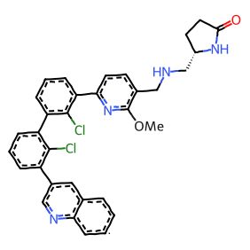 COc1nc(-c2cccc(-c3cccc(-c4cnc5c[c]ccc5c4)c3Cl)c2Cl)ccc1CNC[C@@H]1CCC(=O)N1